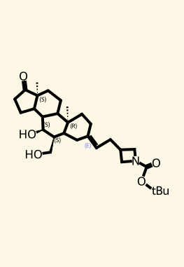 CC(C)(C)OC(=O)N1CC(C/C=C2\CC[C@]3(C)C4CC[C@]5(C)C(=O)CCC5C4[C@H](O)[C@H](CO)C3C2)C1